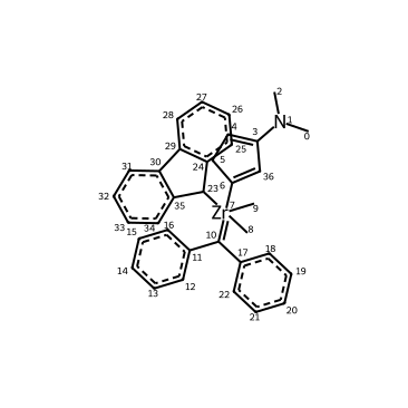 CN(C)C1=CC[C]([Zr]([CH3])([CH3])(=[C](c2ccccc2)c2ccccc2)[CH]2c3ccccc3-c3ccccc32)=C1